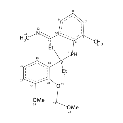 CCC(CC)(Pc1c(C)cccc1/C=N/C)c1cccc(OC)c1OCOC